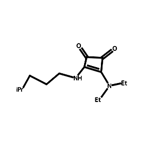 CCN(CC)c1c(NCCCC(C)C)c(=O)c1=O